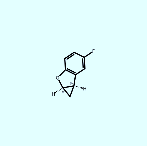 Fc1ccc2c(c1)[C@H]1C[C@H]1O2